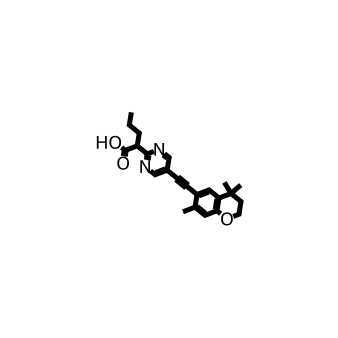 CCCC(C(=O)O)c1ncc(C#Cc2cc3c(cc2C)OCCC3(C)C)cn1